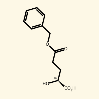 O=C(CC[C@H](O)C(=O)O)OCc1ccccc1